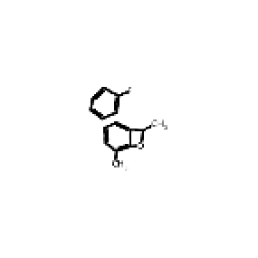 Cc1cccc2c1OC2C.Fc1ccccc1